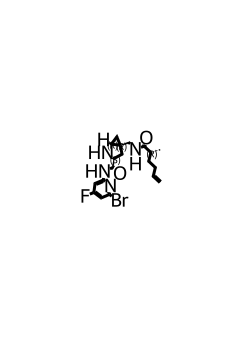 C=CCC[C@@H](C)C(=O)NC[C@@]12C[C@@H](C(=O)Nc3cc(F)cc(Br)n3)N[C@@H]1C2